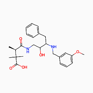 COc1cccc(CNC(Cc2ccccc2)C(O)CNC(=O)[C@H](C)C(C)(C)C(=O)O)c1